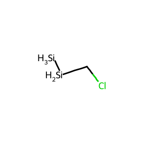 [SiH3][SiH2]CCl